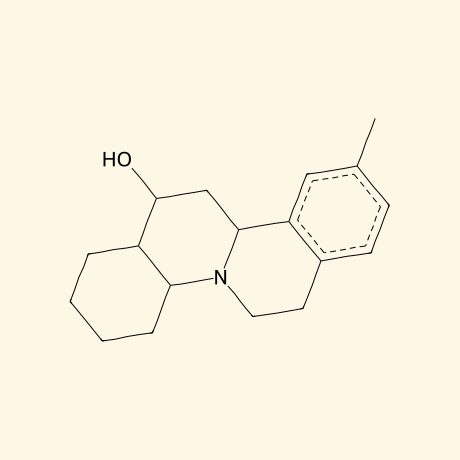 Cc1ccc2c(c1)C1CC(O)C3CCCCC3N1CC2